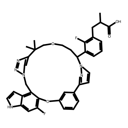 CC(Cc1cccc(C2CCOCC(C)(C)c3cn(nn3)Cc3c(c(F)cc4[nH]ccc34)Oc3cccc(c3)-c3ccn2n3)c1F)C(=O)O